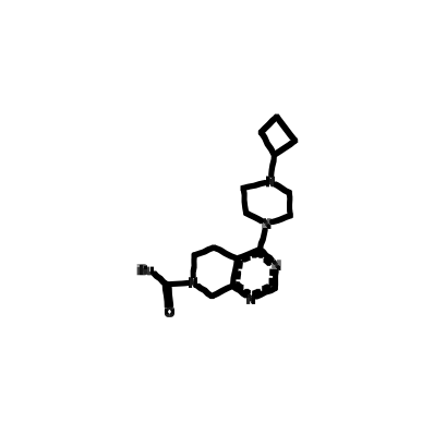 CCC(C)C(=O)N1CCc2c(ncnc2N2CCN(C3CCC3)CC2)C1